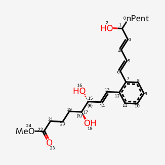 CCCCCC(O)C=CC=Cc1ccccc1C=C[C@@H](O)[C@@H](O)CCCC(=O)OC